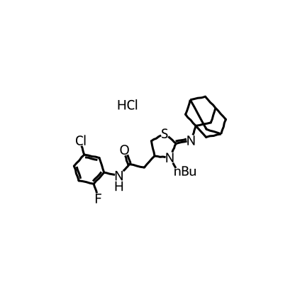 CCCCN1C(=NC23CC4CC(CC(C4)C2)C3)SCC1CC(=O)Nc1cc(Cl)ccc1F.Cl